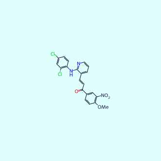 COc1ccc(C(=O)C=Cc2cccnc2Nc2ccc(Cl)cc2Cl)cc1[N+](=O)[O-]